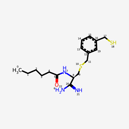 CCCCCC(=O)N[C@@H](CSCc1cccc(CS)c1)C(=N)N